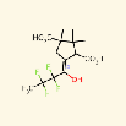 CC1(C(=O)O)C/C(=C(/O)C(F)(F)C(F)(F)C(F)(F)F)C(C(=O)O)C1(C)C